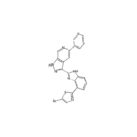 CC(=O)c1ccc(-c2cccc3[nH]c(-c4n[nH]c5cnc(-c6cccnc6)cc45)nc23)s1